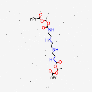 CCCC(=O)O[C@H](C)OC(=O)NCCNCCNCCNC(=O)O[C@@H](C)OC(=O)CCC